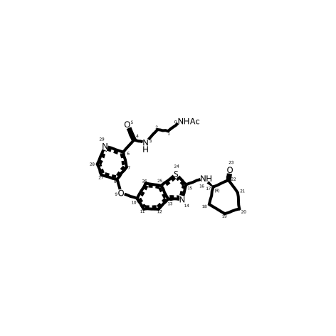 CC(=O)NCCNC(=O)c1cc(Oc2ccc3nc(N[C@@H]4CCCCC4=O)sc3c2)ccn1